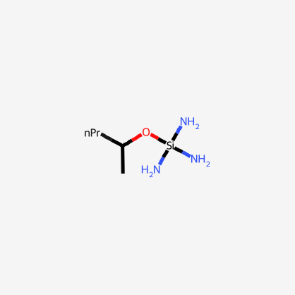 CCCC(C)O[Si](N)(N)N